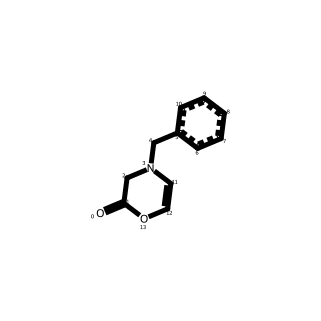 O=C1CN(Cc2ccccc2)C=CO1